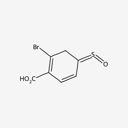 O=S=C1C=CC(C(=O)O)=C(Br)C1